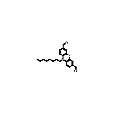 CCCCCCCCN1c2ccc(C=O)cc2Sc2cc(C=O)ccc21